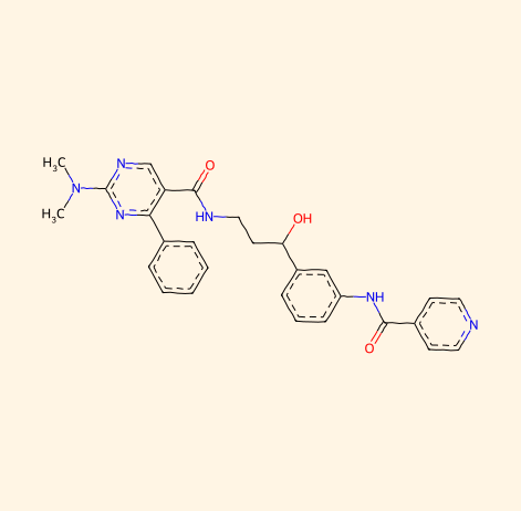 CN(C)c1ncc(C(=O)NCCC(O)c2cccc(NC(=O)c3ccncc3)c2)c(-c2ccccc2)n1